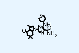 Cc1cn(-c2cnc(C(N)=O)c(NC3CCSCC3)n2)c2c1C(=O)CC(C)(C)C2